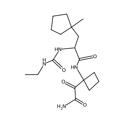 CCNC(=O)NC(CC1(C)CCCC1)C(=O)NC1(C(=O)C(N)=O)CCC1